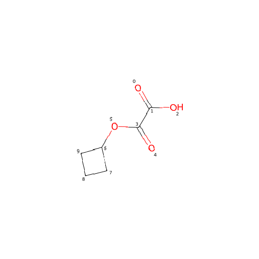 O=C(O)C(=O)OC1CCC1